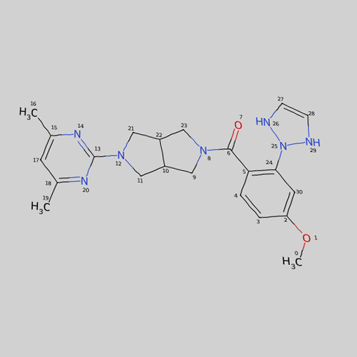 COc1ccc(C(=O)N2CC3CN(c4nc(C)cc(C)n4)CC3C2)c(N2NC=CN2)c1